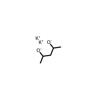 CC([O-])CC(C)[O-].[K+].[K+]